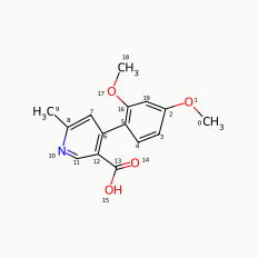 COc1ccc(-c2cc(C)ncc2C(=O)O)c(OC)c1